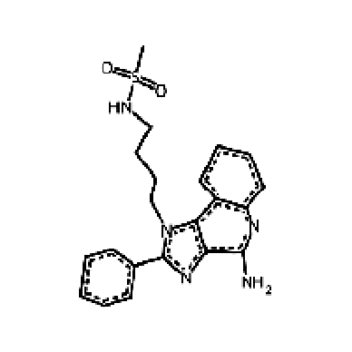 CS(=O)(=O)NCCCCn1c(-c2ccccc2)nc2c(N)nc3ccccc3c21